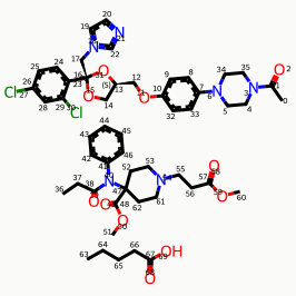 CC(=O)N1CCN(c2ccc(OC[C@H]3CO[C@](Cn4ccnc4)(c4ccc(Cl)cc4Cl)O3)cc2)CC1.CCC(=O)N(c1ccccc1)C1(C(=O)OC)CCN(CCC(=O)OC)CC1.CCCCC(=O)O